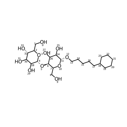 OCC1O[C@H](O[C@@H]2C(CO)O[C@@H](OCCCCCC3CCCCC3)C(O)C2O)C(O)C(O)[C@@H]1O